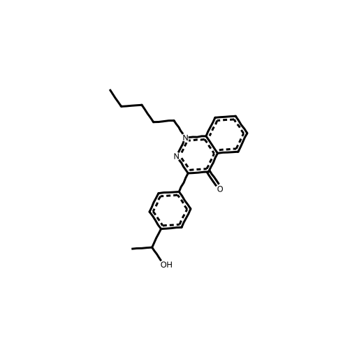 CCCCCn1nc(-c2ccc(C(C)O)cc2)c(=O)c2ccccc21